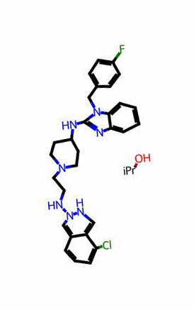 CC(C)O.Fc1ccc(Cn2c(NC3CCN(CCNN4C=c5cccc(Cl)c5=CN4)CC3)nc3ccccc32)cc1